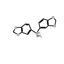 [BH3-][PH+](c1ccc2c(c1)OCO2)c1ccc2c(c1)OCO2